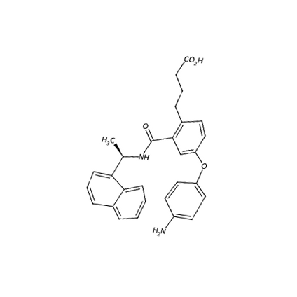 C[C@@H](NC(=O)c1cc(Oc2ccc(N)cc2)ccc1CCCC(=O)O)c1cccc2ccccc12